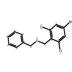 Clc1cc(Br)cc(Cl)c1COCc1ccccc1